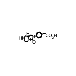 O=C(O)Cc1ccc(N2C[C@@H]3CNCCN3C2=O)cc1